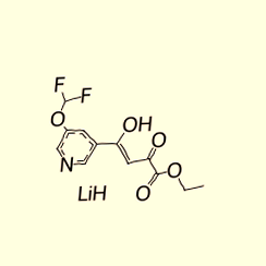 CCOC(=O)C(=O)C=C(O)c1cncc(OC(F)F)c1.[LiH]